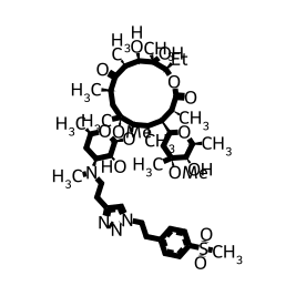 CC[C@H]1OC(=O)[C@H](C)[C@@H](C2C[C@@](C)(OC)[C@@H](O)[C@H](C)O2)[C@H](C)[C@@H](O[C@@H]2O[C@H](C)C[C@H](N(C)CCc3cn(CCc4ccc(S(C)(=O)=O)cc4)nn3)[C@H]2O)[C@](C)(OC)C[C@@H](C)C(=O)[C@H](C)[C@@H](O)[C@]1(C)O